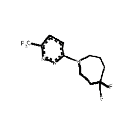 FC1(F)CCCN(c2ccc(C(F)(F)F)nn2)CC1